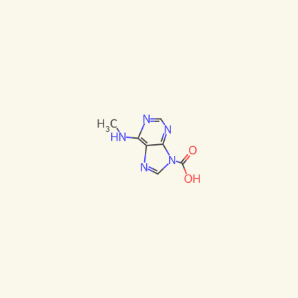 CNc1ncnc2c1ncn2C(=O)O